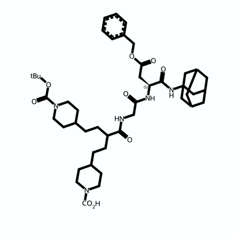 CC(C)(C)OC(=O)N1CCC(CCC(CCC2CCN(C(=O)O)CC2)C(=O)NCC(=O)N[C@@H](CC(=O)OCc2ccccc2)C(=O)NC23CC4CC(CC(C4)C2)C3)CC1